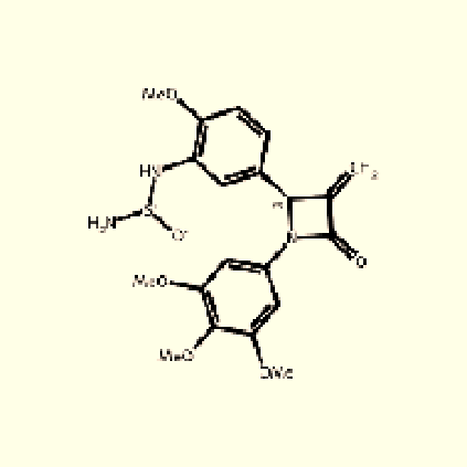 C=C1C(=O)N(c2cc(OC)c(OC)c(OC)c2)[C@H]1c1ccc(OC)c(N[S+](N)[O-])c1